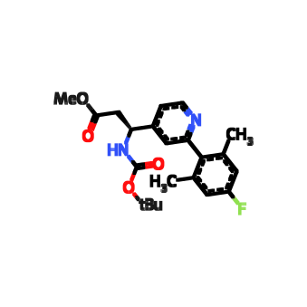 COC(=O)C[C@H](NC(=O)OC(C)(C)C)c1ccnc(-c2c(C)cc(F)cc2C)c1